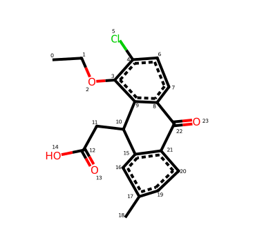 CCOc1c(Cl)ccc2c1C(CC(=O)O)c1cc(C)ccc1C2=O